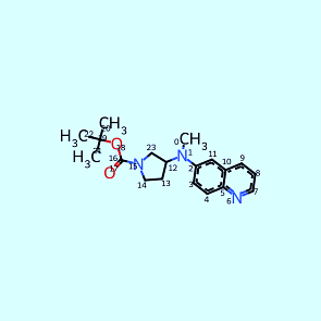 CN(c1ccc2ncccc2c1)C1CCN(C(=O)OC(C)(C)C)C1